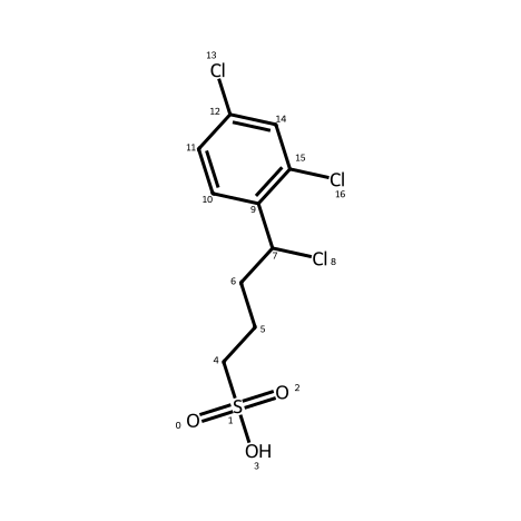 O=S(=O)(O)CCCC(Cl)c1ccc(Cl)cc1Cl